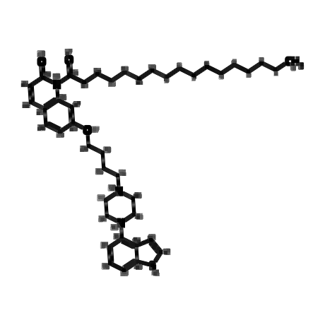 CCCCCCCCCCCCCCCCC(=O)n1c(=O)ccc2ccc(OCCCCN3CCN(c4cccc5sccc45)CC3)cc21